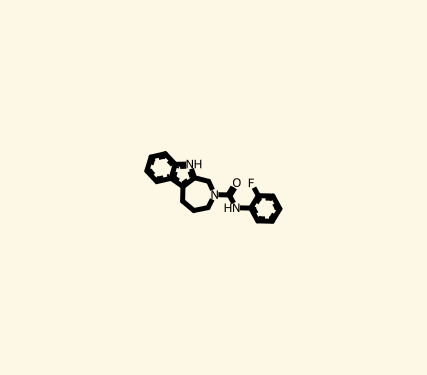 O=C(Nc1ccccc1F)N1CCCc2c([nH]c3ccccc23)C1